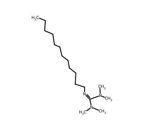 CCCCCCCCCCCCN=C(N(C)C)N(C)C